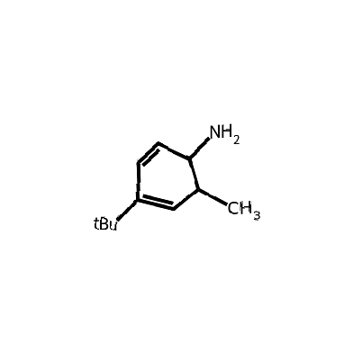 CC1C=C(C(C)(C)C)C=CC1N